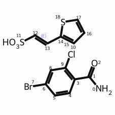 NC(=O)c1ccc(Br)cc1Cl.O=S(=O)(O)/C=C/c1cccs1